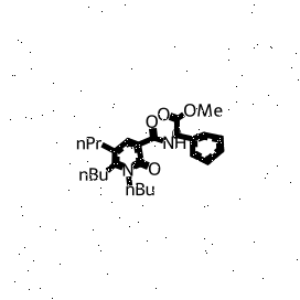 CCCCc1c(CCC)cc(C(=O)N[C@@H](C(=O)OC)c2ccccc2)c(=O)n1CCCC